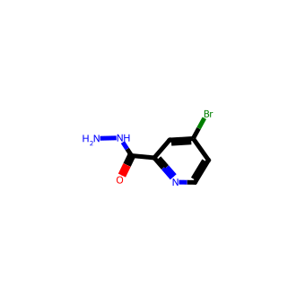 NNC(=O)c1cc(Br)ccn1